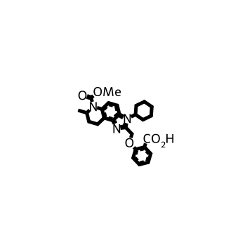 COC(=O)N1c2ccc3c(nc(COc4ccccc4C(=O)O)n3C3CCCCC3)c2CCC1C